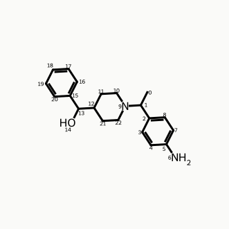 CC(c1ccc(N)cc1)N1CCC(C(O)c2ccccc2)CC1